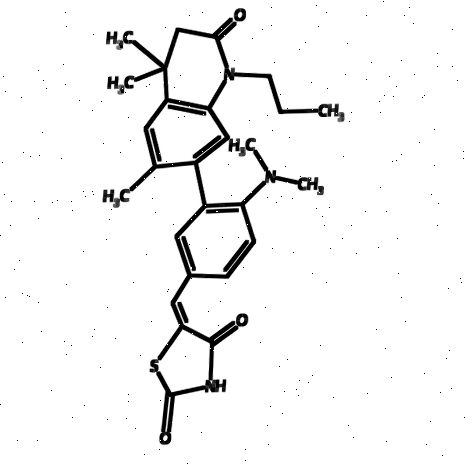 CCCN1C(=O)CC(C)(C)c2cc(C)c(-c3cc(/C=C4/SC(=O)NC4=O)ccc3N(C)C)cc21